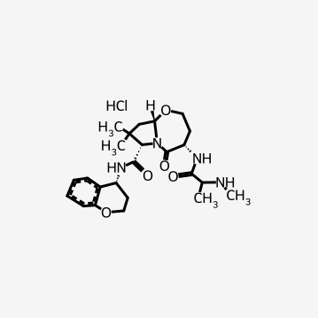 CNC(C)C(=O)N[C@H]1CCO[C@H]2CC(C)(C)[C@@H](C(=O)N[C@@H]3CCOc4ccccc43)N2C1=O.Cl